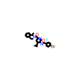 CC1c2ccccc2CCN1C(=O)c1cc(C2CC2)c2nc(-c3ccc(Br)cc3F)oc2n1